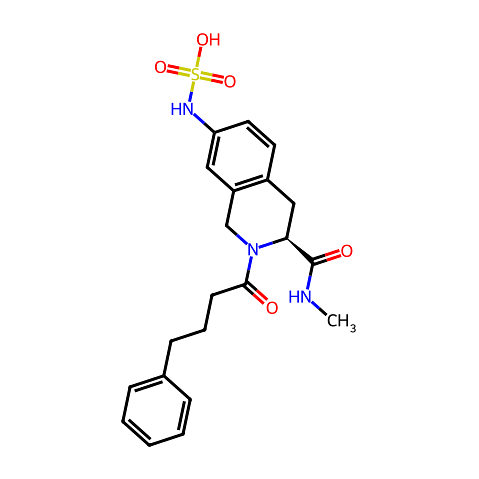 CNC(=O)[C@@H]1Cc2ccc(NS(=O)(=O)O)cc2CN1C(=O)CCCc1ccccc1